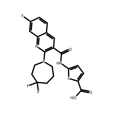 O=C(O)c1ccc(NC(=O)c2cc3ccc(F)cc3nc2N2CCCC(F)(F)CC2)s1